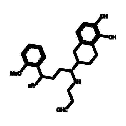 CCCC(CCN(NCCC=O)C1CCc2c(ccc(O)c2O)C1)c1ccccc1OC